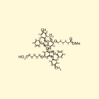 COC(=O)CCCCCOc1ccc2nc(-c3ccccc3)n(-c3ccc(C)cc3)c2c1C.Cc1ccc(-n2c(-c3ccccc3)nc3c(O)cc(OCCCCCC(=O)O)cc32)cc1